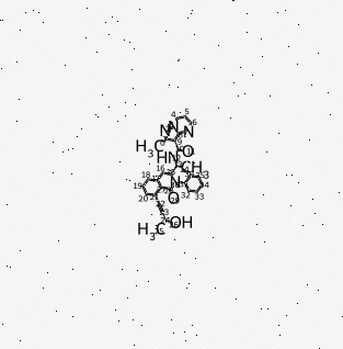 Cc1nn2cccnc2c1C(=O)NC(C)c1cc2cccc(C#C[C@@H](C)O)c2c(=O)n1-c1ccccc1